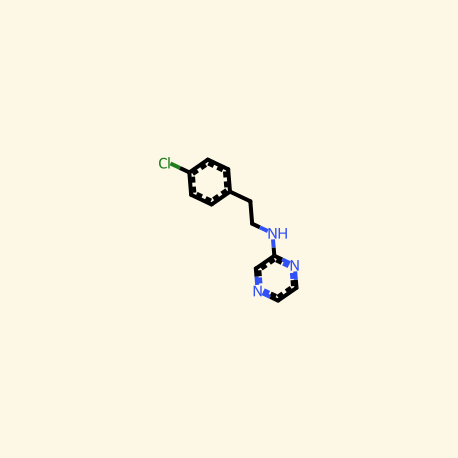 Clc1ccc(CCNc2cnccn2)cc1